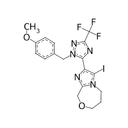 COc1ccc(Cn2nc(C(F)(F)F)nc2-c2nc3n(c2I)CCCOC3)cc1